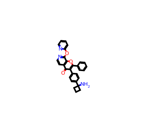 NC1(c2ccc(-c3c(-c4ccccc4)oc4c(Oc5ccccn5)nccc4c3=O)cc2)CCC1